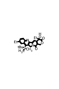 CCc1ccc2nc3c(c([Si](C)(C)C(C)(C)C)c2c1)Cn1c-3cc2c(c1=O)COC(=O)C2(O)CC